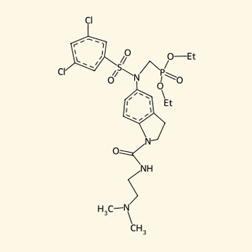 CCOP(=O)(CN(c1ccc2c(c1)CCN2C(=O)NCCN(C)C)S(=O)(=O)c1cc(Cl)cc(Cl)c1)OCC